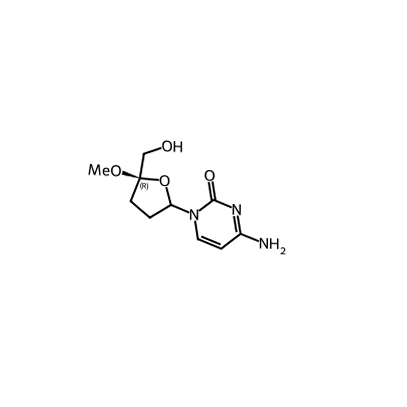 CO[C@]1(CO)CCC(n2ccc(N)nc2=O)O1